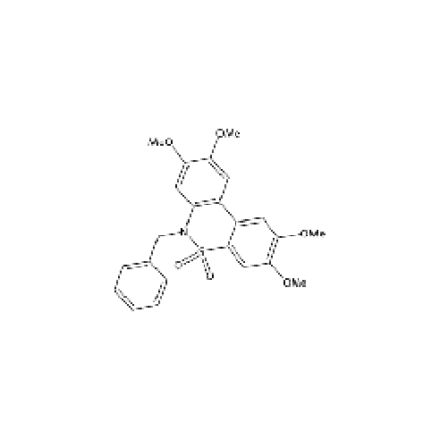 COc1cc2c(cc1OC)N(Cc1ccccc1)S(=O)(=O)c1cc(OC)c(OC)cc1-2